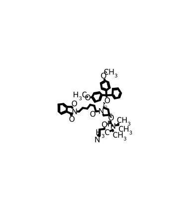 COc1ccc(C(OC[C@@H]2C[C@@H](OP(OCCC#N)N(C(C)C)C(C)C)CN2C(=O)CCCCCN2C(=O)c3ccccc3C2=O)(c2ccccc2)c2ccc(OC)cc2)cc1